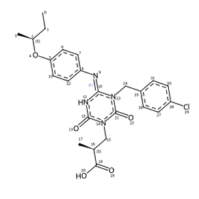 CC[C@H](C)Oc1ccc(/N=c2\[nH]c(=O)n(C[C@H](C)C(=O)O)c(=O)n2Cc2ccc(Cl)cc2)cc1